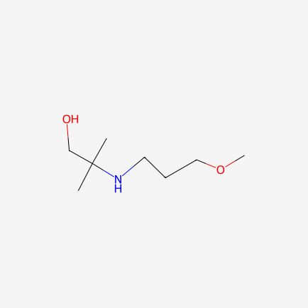 COCCCNC(C)(C)CO